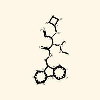 CON(C)N(C(=O)OCC1c2ccccc2-c2ccccc21)[C@H](C=O)CC1CCC1